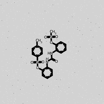 Cc1ccc(S(=O)(=O)Oc2ccccc2NC(=O)Nc2ccccc2OS(C)(=O)=O)cc1